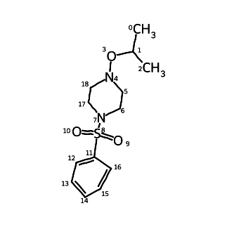 CC(C)ON1CCN(S(=O)(=O)c2ccccc2)CC1